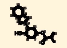 C=C(C)C(=O)Oc1ccc(O)c(-n2nc3ccccc3n2)c1